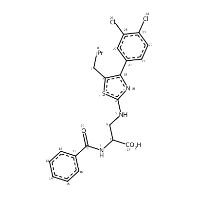 CC(C)Cc1sc(NCC(NC(=O)c2ccccc2)C(=O)O)nc1-c1ccc(Cl)c(Cl)c1